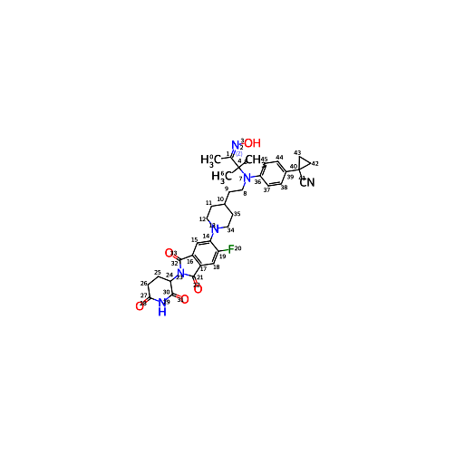 C/C(=N/O)C(C)(C)N(CCC1CCN(c2cc3c(cc2F)C(=O)N(C2CCC(=O)NC2=O)C3=O)CC1)c1ccc(C2(C#N)CC2)cc1